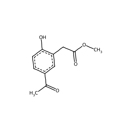 COC(=O)Cc1cc(C(C)=O)ccc1O